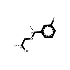 C[C@@H](O)CO[C@H](C)c1[c]c(F)ccc1